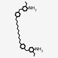 CCc1cc(Cc2ccc(CCCCCCCCCCCc3ccc(Cc4ccc(N)c(CC)c4)cc3)cc2)ccc1N